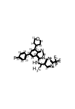 CC(Nc1ncnc2c(C3CCOCC3)cc(-c3ccc(F)cc3)cc12)c1cnc(C(F)(F)F)nc1